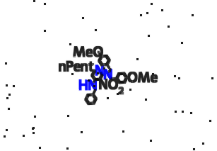 CCCCCc1cc(NCc2ccccc2)c([N+](=O)[O-])c(N(Cc2ccc(OC)cc2)Cc2ccc(OC)cc2)n1